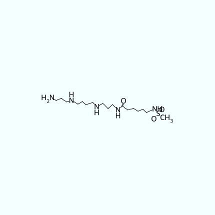 CS(=O)(=O)NCCCCCC(=O)NCCCNCCCCNCCCN